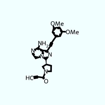 C#CC(=O)N1CC[C@H](c2nc(C#Cc3cc(OC)cc(OC)c3)c3c(N)nccn23)C1